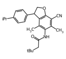 Cc1c(C#N)c2c(c(C)c1NC(=O)CC(C)(C)C)C(c1ccc(C(C)C)cc1)CO2